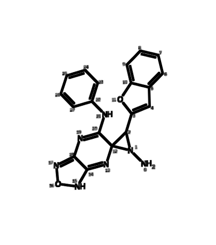 NN1C(c2cc3ccccc3o2)C12N=C1NON=C1N=C2Nc1ccccc1